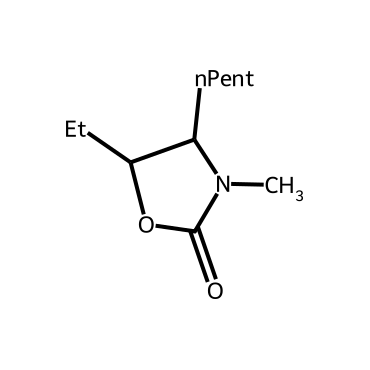 CCCCCC1C(CC)OC(=O)N1C